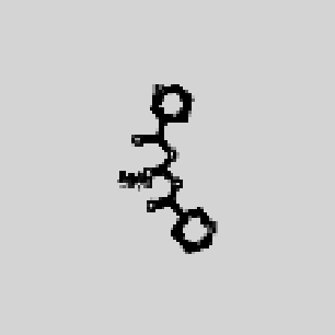 O=C(OC(=O)c1cccnc1)OC(=O)c1cccnc1.[Ag].[Ag]